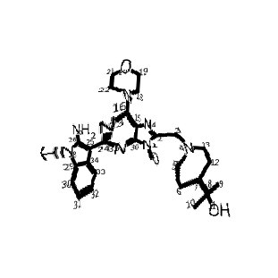 Cn1c(CN2CCC(C(C)(C)O)CC2)nc2c(N3CCOCC3)nc(-c3c(N)[nH]c4ccccc34)nc21